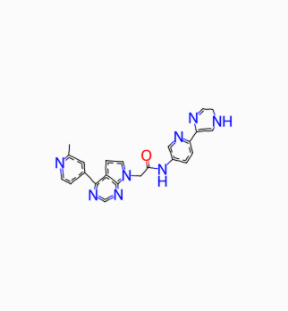 Cc1cc(-c2ncnc3c2ccn3CC(=O)Nc2ccc(C3=CNCC=N3)nc2)ccn1